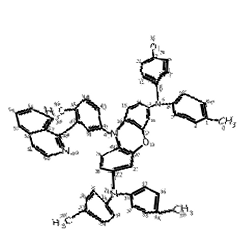 Cc1ccc(N(c2ccc(C)cc2)c2ccc3c(c2)Oc2cc(N(c4ccc(C)cc4)c4ccc(C)cc4)ccc2N3c2ccc(C)c(-c3nccc4ccccc34)c2)cc1